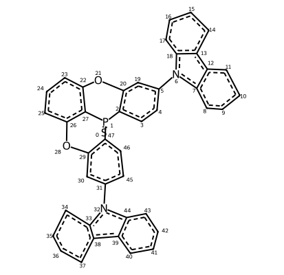 S=P12c3ccc(-n4c5ccccc5c5ccccc54)cc3Oc3cccc(c31)Oc1cc(-n3c4ccccc4c4ccccc43)ccc12